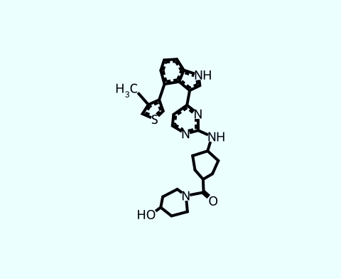 Cc1cscc1-c1cccc2[nH]cc(-c3ccnc(NC4CCC(C(=O)N5CCC(O)CC5)CC4)n3)c12